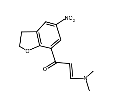 CN(C)C=CC(=O)c1cc([N+](=O)[O-])cc2c1OCC2